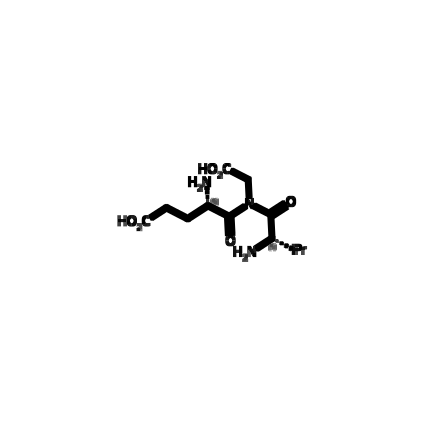 CC(C)[C@H](N)C(=O)N(CC(=O)O)C(=O)[C@@H](N)CCC(=O)O